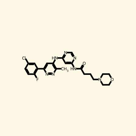 Cc1nnc(-c2cc(Cl)ccc2F)cc1Nc1cc(NC(=O)CCCN2CCOCC2)ncn1